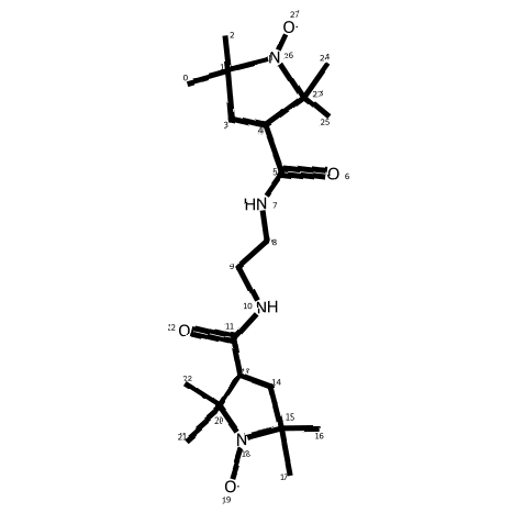 CC1(C)CC(C(=O)NCCNC(=O)C2CC(C)(C)N([O])C2(C)C)C(C)(C)N1[O]